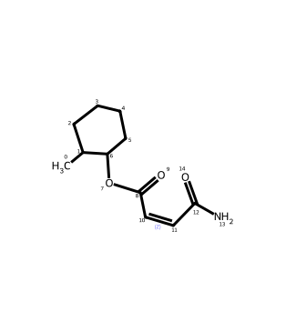 CC1CCCCC1OC(=O)/C=C\C(N)=O